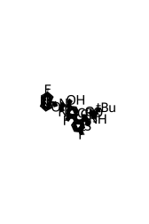 CC(C)(C)OC(=O)Nc1sc2c(F)ccc(-c3c(C(F)(F)F)cc4c(O)nc(OC[C@@]56CCCN5C[C@H](F)C6)nc4c3F)c2c1C#N